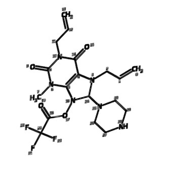 C=CCN1c2c(n(C)c(=O)n(CC=C)c2=O)N(OC(=O)C(F)(F)F)C1N1CCNCC1